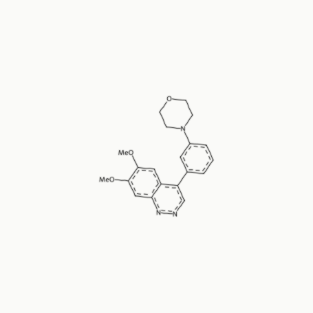 COc1cc2nncc(-c3cccc(N4CCOCC4)c3)c2cc1OC